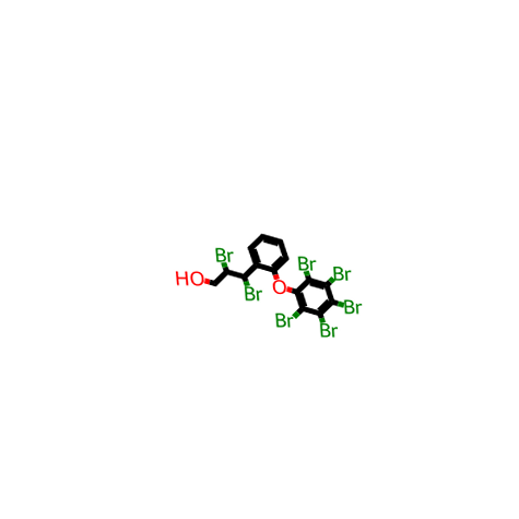 OCC(Br)C(Br)c1ccccc1Oc1c(Br)c(Br)c(Br)c(Br)c1Br